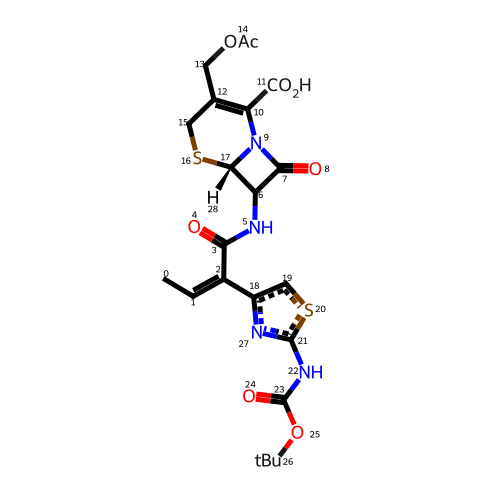 C/C=C(\C(=O)NC1C(=O)N2C(C(=O)O)=C(COC(C)=O)CS[C@@H]12)c1csc(NC(=O)OC(C)(C)C)n1